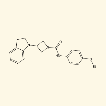 CCOc1ccc(NC(=O)N2CC(N3CCc4ccccc43)C2)cc1